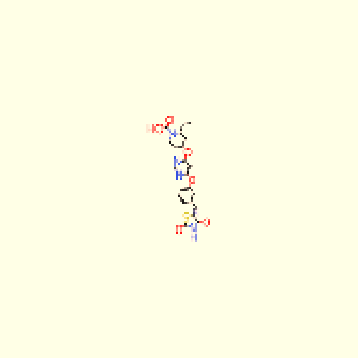 CCC1CC(Oc2ncnc(Oc3cccc(/C=C4\SC(=O)NC4=O)c3)c2C)CCN1C(=O)O